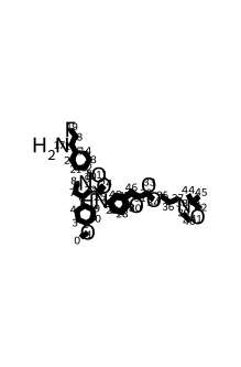 COC1CCC([C@@H]2CCN(C(=O)[C@H]3CC[C@H]([C@H](N)CF)CC3)[C@@H]2C(=O)Nc2ccc3oc(C(=O)OCCCN4CCOCC4(C)C)cc3c2)CC1